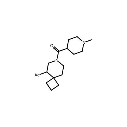 CC(=O)C1CN(C(=O)C2CCN(C)CC2)CCC12CCC2